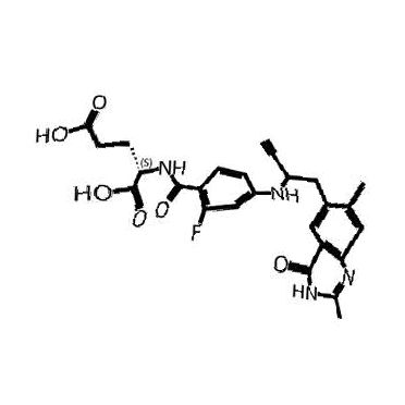 C#CC(Cc1cc2c(=O)[nH]c(C)nc2cc1C)Nc1ccc(C(=O)N[C@@H](CCC(=O)O)C(=O)O)c(F)c1